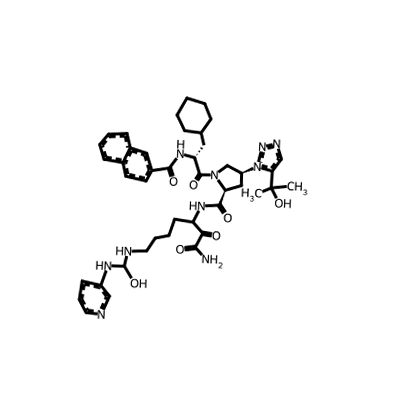 CC(C)(O)c1cnnn1[C@H]1C[C@@H](C(=O)NC(CCCCNC(O)Nc2cccnc2)C(=O)C(N)=O)N(C(=O)[C@@H](CC2CCCCC2)NC(=O)c2ccc3ccccc3c2)C1